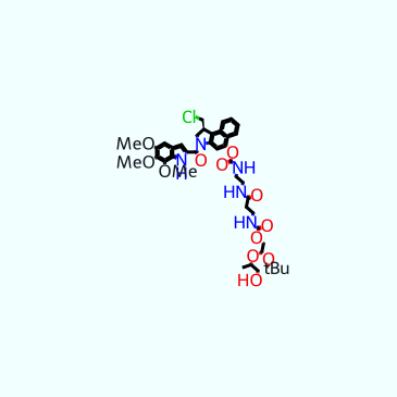 COc1cc2cc(C(=O)N3C[C@@H](CCl)c4c3cc(OC(=O)NCCNC(=O)CCNC(=O)OCC(OC(C)CO)OC(C)(C)C)c3ccccc43)[nH]c2c(OC)c1OC